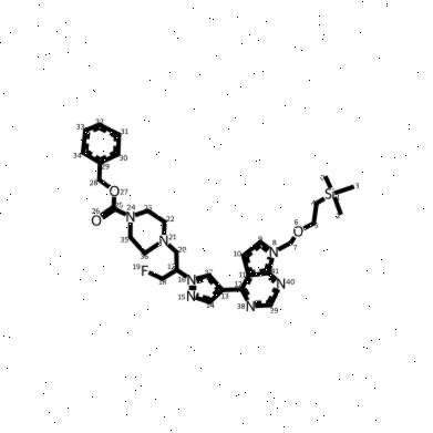 C[Si](C)(C)CCOCn1ccc2c(-c3cnn(C(CF)CN4CCN(C(=O)OCc5ccccc5)CC4)c3)ncnc21